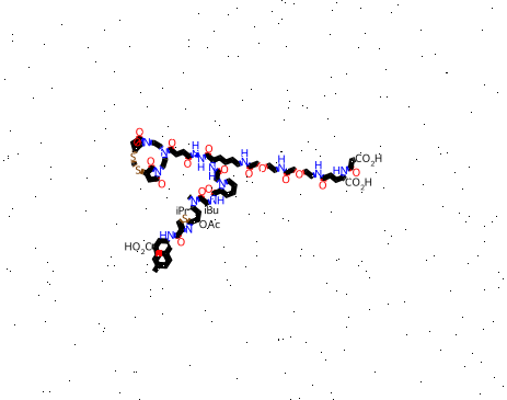 CCC(C)[C@H](NC(=O)C1CCCCN1CC(=O)NC(CCCCNC(=O)COCCNC(=O)COCCNC(=O)CCC(NC(=O)CC(=O)O)C(=O)O)C(=O)NNC(=O)CCC(=O)N1CCN2C(=O)CC(SCSC3CC(=O)N(CC1)C3=O)C2=O)C(=O)N(C)[C@H](C[C@@H](OC(C)=O)c1nc(C(=O)N[C@@H](Cc2ccc(C)cc2)CC(C)C(=O)O)cs1)C(C)C